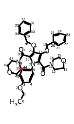 CCOc1ccc(-n2c(C(=O)N3CCOCC3)c(OCc3ccccc3)c(OCc3ccccc3)c2C(=O)N2CCOCC2)cc1